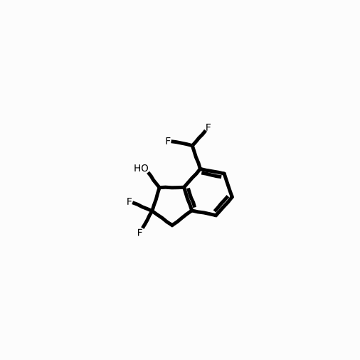 OC1c2c(cccc2C(F)F)CC1(F)F